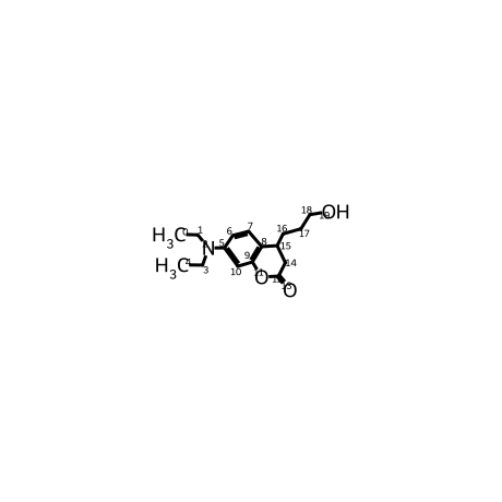 CCN(CC)c1ccc2c(c1)OC(=O)CC2CCCO